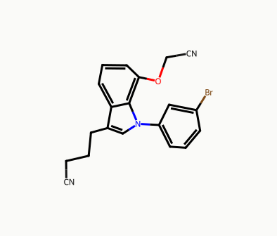 N#CCCCc1cn(-c2cccc(Br)c2)c2c(OCC#N)cccc12